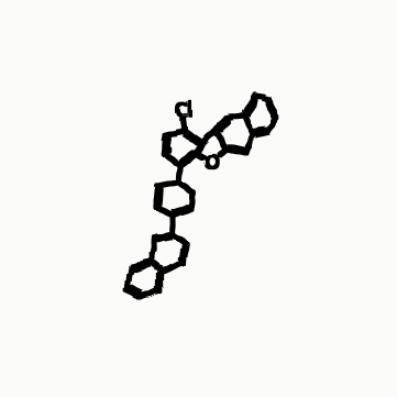 Clc1ccc(C2C=CC(c3ccc4ccccc4c3)=CC2)c2oc3cc4ccccc4cc3c12